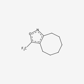 FC(F)(F)c1onc2c1CCCCCC2